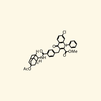 COC(=O)c1c(Cc2ccc(C(=O)NC3[C@@H]4CC5C[C@H]3CC(OC(C)=O)(C5)C4)cc2)c(=O)c2ccc(Cl)cc2n1-c1ccccc1